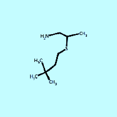 CC(CN)SCCC(C)(C)C